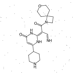 N=C/C(C(=O)N1CCC12CCOCC2)=C1/NC(=O)C=C(C2CCNCC2)N1